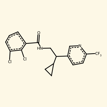 O=C(NCC(c1ccc(C(F)(F)F)nc1)C1CC1)c1cccc(Cl)c1Cl